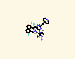 C#Cc1c(F)ccc2cc(O)cc(-c3nnc4c(N5C[C@H]6C[C@@H]5CN6)nc(C#CC56CCCN5CCC6)nc4c3F)c12